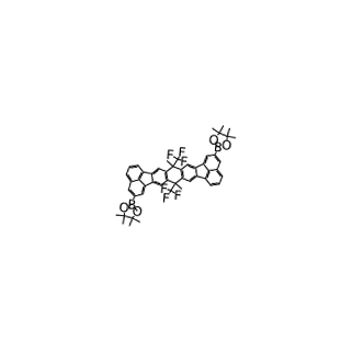 CC1(C)OB(c2cc3c4c(cccc4c2)-c2cc4c(cc2-3)C(C)(C(F)(F)F)c2cc3c(cc2C4(C)C(F)(F)F)-c2cc(B4OC(C)(C)C(C)(C)O4)cc4cccc-3c24)OC1(C)C